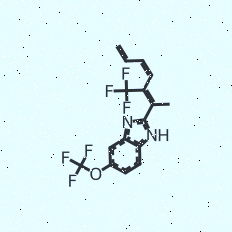 C=C/C=C\C(=C(/C)c1nc2cc(OC(F)(F)F)ccc2[nH]1)C(F)(F)F